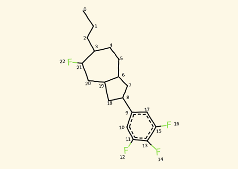 CCCC1CCC2CC(c3cc(F)c(F)c(F)c3)CC2CC1F